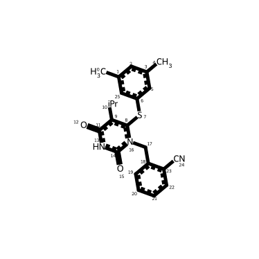 Cc1cc(C)cc(Sc2c(C(C)C)c(=O)[nH]c(=O)n2Cc2ccccc2C#N)c1